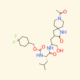 CC(=O)N1CCC2(CC1)CC(CC(CO)NC(=O)[C@H](CC(C)C)NC(=O)OCC1CCC(F)(F)CC1)C(=O)N2